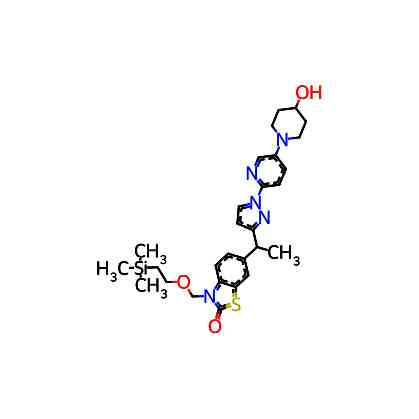 CC(c1ccc2c(c1)sc(=O)n2COCC[Si](C)(C)C)c1ccn(-c2ccc(N3CCC(O)CC3)cn2)n1